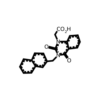 O=C(O)Cn1c(=O)n(Cc2ccc3ccccc3c2)c(=O)c2ccccc21